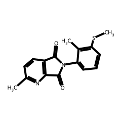 CSc1cccc(N2C(=O)c3ccc(C)nc3C2=O)c1C